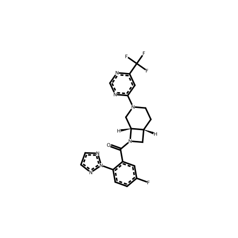 O=C(c1cc(F)ccc1-n1nccn1)N1C[C@H]2CCN(c3cc(C(F)(F)F)ncn3)C[C@H]21